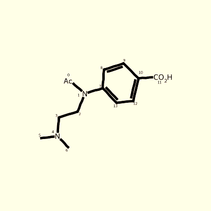 CC(=O)N(CCN(C)C)c1ccc(C(=O)O)cc1